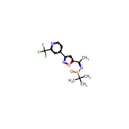 C/C(=N/[S+]([O-])C(C)(C)C)c1cc(-c2ccnc(C(F)(F)F)c2)no1